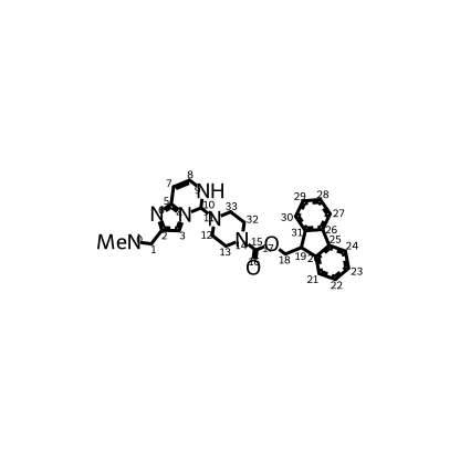 CNCc1cn2c(n1)C=CNC2N1CCN(C(=O)OCC2c3ccccc3-c3ccccc32)CC1